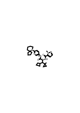 Cn1nccc1C(=O)N[C@H](C(=O)Nc1ccc(N2CCCCC23CCCC3)nc1)C(C1CCC1)C1(C)CC1